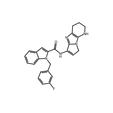 O=C(NC1=CCn2c1nc1c2NCCC1)c1cc2ccccc2n1Cc1cccc(F)c1